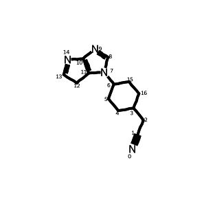 N#CCC1CCC(n2cnc3c2CC=N3)CC1